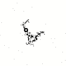 CCC/C=C(/CNC(=O)CN)NCC(=O)NC(CCCNC(N)=O)C(=O)Nc1ccc(COC(=O)N(C)CCN(C)C)cc1